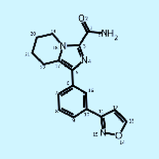 NC(=O)c1nc(-c2cccc(-c3ccon3)c2)c2n1CCCC2